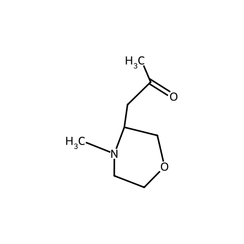 CC(=O)CC1COCCN1C